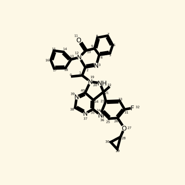 CC(c1nc2ccccc2c(=O)n1-c1ccccc1)N1NC(C)(c2ccc(OC3CC3)c(F)c2)c2c(N)ncnc21